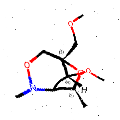 COC[C@@]12CON(C)C([C@H](C)O1)[C@H]2OC